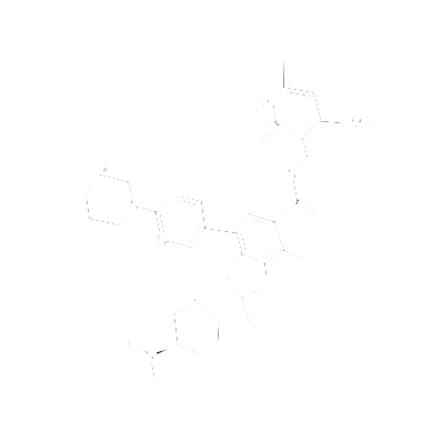 CCN(C)[C@H]1CC[C@H](C2(C)Oc3c(-c4ccc(N5C[C@@H](C)O[C@@H](C)C5)nc4)cc(C(=O)NCc4c(SC)cc(C)[nH]c4=O)c(C)c3O2)CC1